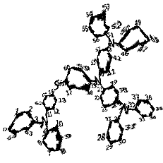 c1ccc(N(c2ccccc2)c2ccc(Sc3ccc(N(c4ccc(N(c5ccccc5)c5ccccc5)cc4)c4ccc(N(c5ccccc5)c5ccccc5)cc4)cc3)cc2)cc1